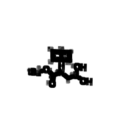 CC(C)(C)OC(=O)NCB(O)O.c1cc2ccc1-2